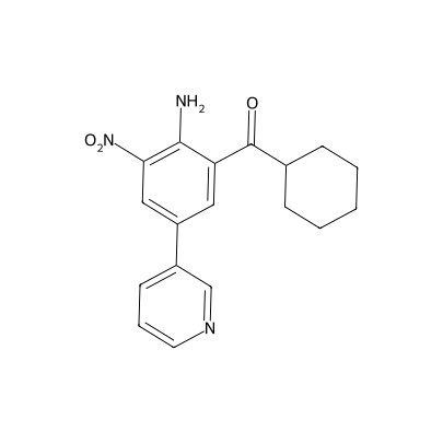 Nc1c(C(=O)C2CCCCC2)cc(-c2cccnc2)cc1[N+](=O)[O-]